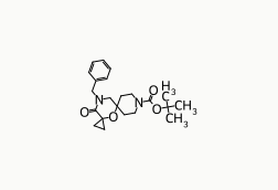 CC(C)(C)OC(=O)N1CCC2(CC1)CN(Cc1ccccc1)C(=O)C1(CC1)O2